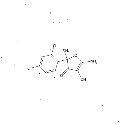 CC1(c2ccc(Cl)cc2Cl)OC(N)=C(O)C1=O